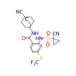 N#CC12CCC(NC(=O)c3ccc(SC(F)(F)F)cc3NS(=O)(=O)C3(C#N)CC3)(CC1)CC2